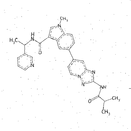 CC(C)C(=O)Nc1nc2cc(-c3ccc4c(c3)c(C(=O)NC(C)c3cccnc3)cn4C)ccn2n1